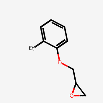 [CH2]Cc1ccccc1OCC1CO1